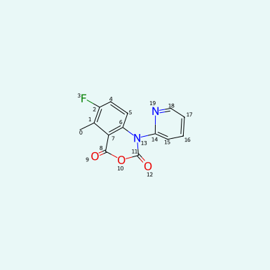 Cc1c(F)ccc2c1c(=O)oc(=O)n2-c1ccccn1